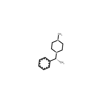 C[C@H](c1ccccc1)N1CCN(C)CC1